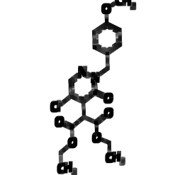 CCOC(=O)C(C(=O)OCC)c1c(Cl)cnn(Cc2ccc(OC)cc2)c1=O